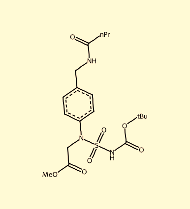 CCCC(=O)NCc1ccc(N(CC(=O)OC)S(=O)(=O)NC(=O)OC(C)(C)C)cc1